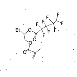 C=C(C)C(=O)OCC(CC)OC(=O)C(F)(F)C(F)(F)C(F)(F)C(F)F